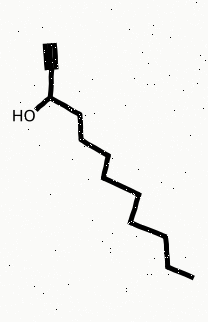 C#CC(O)CCCCCCCCC